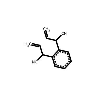 C=CC(C#N)c1ccccc1C(C#N)C=C